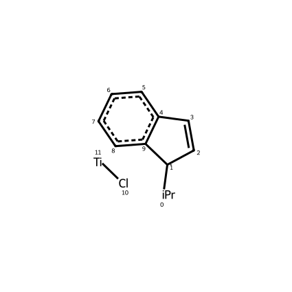 CC(C)[C]1C=Cc2ccccc21.[Cl][Ti]